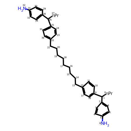 CCCC(c1ccc(N)cc1)c1ccc(CCCCCCCCCc2ccc(C(CCC)c3ccc(N)cc3)cc2)cc1